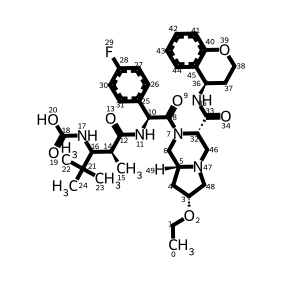 CCO[C@@H]1C[C@@H]2CN(C(=O)[C@@H](NC(=O)[C@@H](C)C(NC(=O)O)C(C)(C)C)c3ccc(F)cc3)[C@H](C(=O)N[C@@H]3CCOc4ccccc43)CN2C1